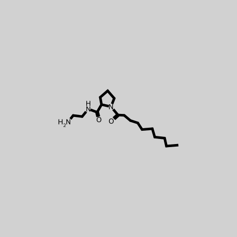 CCCCCCCCCC(=O)N1CCCC1C(=O)NCCN